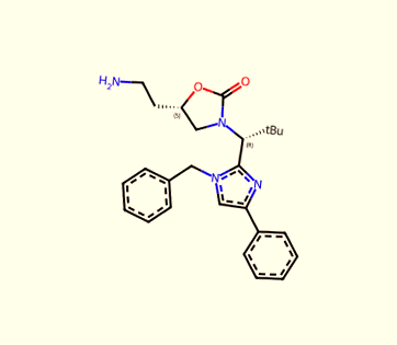 CC(C)(C)[C@H](c1nc(-c2ccccc2)cn1Cc1ccccc1)N1C[C@H](CCN)OC1=O